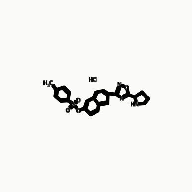 Cc1ccc(S(=O)(=O)Oc2ccc3cc(-c4noc(C5CCCN5)n4)ccc3c2)cc1.Cl